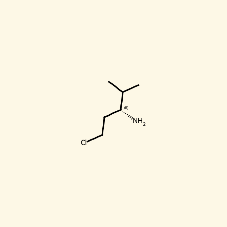 CC(C)[C@H](N)CCCl